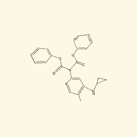 Cc1cnc(N(C(=O)Oc2ccccc2)C(=O)Oc2ccccc2)cc1NC1CC1